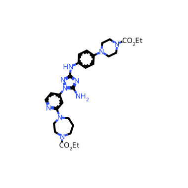 CCOC(=O)N1CCN(c2ccc(Nc3nc(N)n(-c4ccnc(N5CCCN(C(=O)OCC)CC5)c4)n3)cc2)CC1